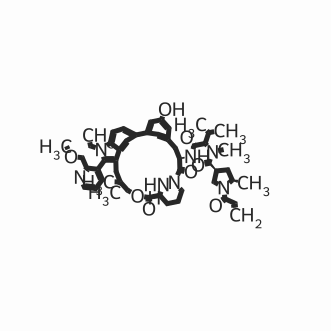 C=CC(=O)N1C[C@@H](C(=O)N(C)C(C(=O)N[C@H]2Cc3cc(O)cc(c3)-c3ccc4c(c3)c(c(-c3cccnc3COC)n4CC)CC(C)(C)COC(=O)[C@@H]3CCCN(N3)C2=O)C(C)C)C[C@H]1C